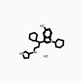 Cl.N#Cc1ccc2c(c1)c(C(CCNC1CCNC1)C1CCCCC1)cn2C1CCCCC1